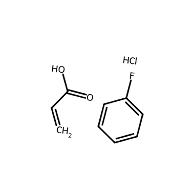 C=CC(=O)O.Cl.Fc1ccccc1